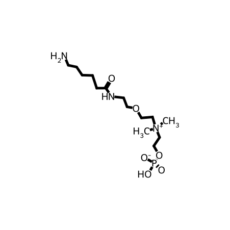 C[N+](C)(CCOCCNC(=O)CCCCCN)CCOP(=O)([O-])O